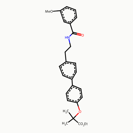 CCOC(=O)C(C)(C)Oc1ccc(-c2ccc(CCNC(=O)c3cccc(OC)c3)cc2)cc1